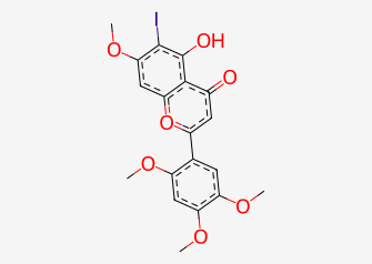 COc1cc(OC)c(-c2cc(=O)c3c(O)c(I)c(OC)cc3o2)cc1OC